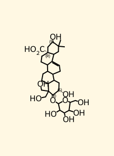 CC1(C)CC2C3=CCC4C(CCC5C4C[C@H](O)[C@H](OC4OC(CO)C(O)C(O)C4O)C5(CO)CO)C3CC[C@@]2(C(=O)O)C[C@@H]1O